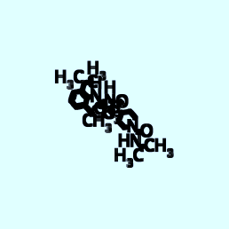 CC(C)NC(=O)N1CCC(S(=O)(=O)NC(=O)Nc2c(C(C)C)cccc2C(C)C)CC1